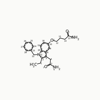 CCc1c(CC(N)=O)c2cc(OCCCC(N)=O)ccc2n1Cc1ccccc1